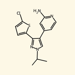 CC(C)n1cc(-c2ccnc(N)c2)c(-c2ccc(Cl)s2)n1